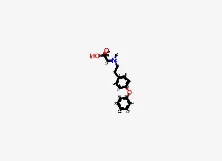 CN(CCc1ccc(Oc2ccccc2)cc1)CC(=O)O